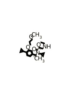 COCCCOc1cc([C@@H](C)N(C(=O)[C@H]2CNCCO2)C2CC2)ccc1C1CC1